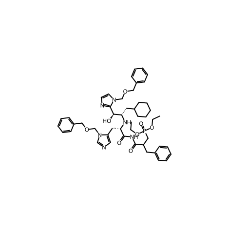 CCOP(=O)(CC(Cc1ccccc1)C(=O)NC(=O)[C@H](Cc1cncn1COCc1ccccc1)N[C@@H](CC1CCCCC1)[C@@H](O)c1nccn1COCc1ccccc1)OCC